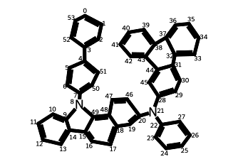 c1ccc(-c2ccc(-n3c4ccccc4c4ccc5cc(N(c6ccccc6)c6ccc7c8ccccc8c8ccccc8c7c6)ccc5c43)cc2)cc1